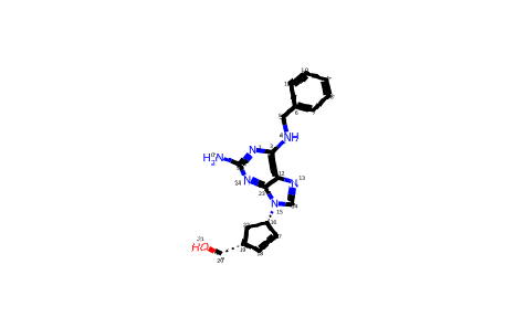 Nc1nc(NCc2ccccc2)c2ncn([C@@H]3C=C[C@H](CO)C3)c2n1